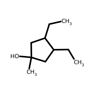 CCC1CC(C)(O)CC1CC